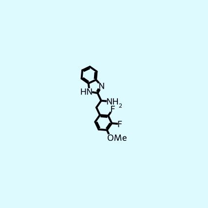 COc1ccc(CC(N)c2nc3ccccc3[nH]2)c(F)c1F